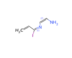 C=C/C(I)=N\C=C/N